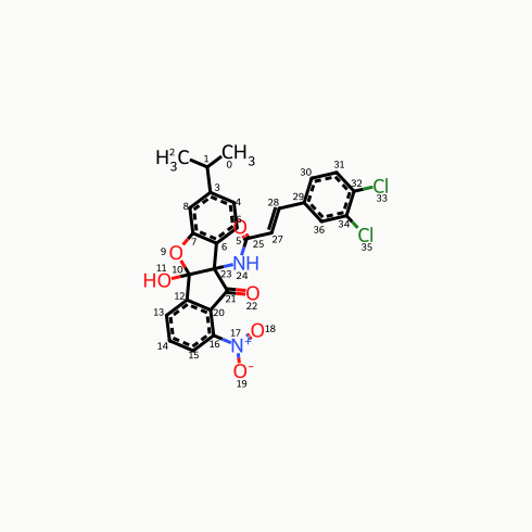 CC(C)c1ccc2c(c1)OC1(O)c3cccc([N+](=O)[O-])c3C(=O)C21NC(=O)C=Cc1ccc(Cl)c(Cl)c1